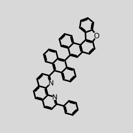 c1ccc(-c2ccc3ccc4ccc(-c5c6ccccc6c(-c6cc7ccc8oc9ccccc9c8c7c7ccccc67)c6ccccc56)nc4c3n2)cc1